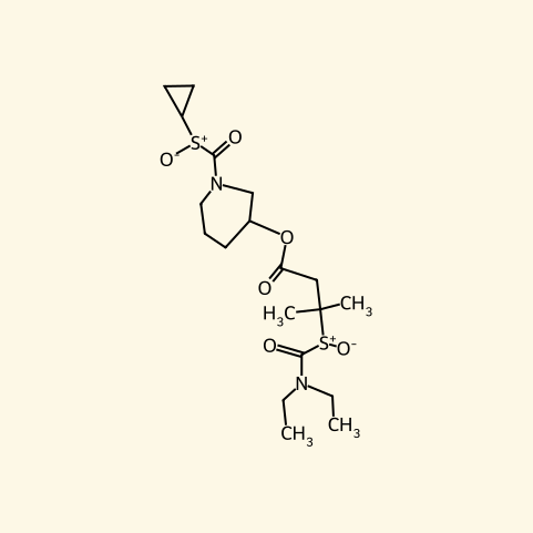 CCN(CC)C(=O)[S+]([O-])C(C)(C)CC(=O)OC1CCCN(C(=O)[S+]([O-])C2CC2)C1